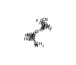 Cc1nc(OCCCCOCCOCC(=O)N[C@H](C(=O)N2C[C@H](O)C[C@H]2C(=O)NCc2ccc(-c3scnc3C)cc2)C(C)(C)C)ccc1N1C(=S)N(c2ccc(C#N)c(C(F)(F)F)c2F)C(=O)C1(C)C